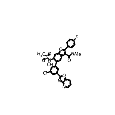 CNC(=O)c1c(-c2ccc(F)cc2)oc2cc(N(C)S(C)(=O)=O)c(-c3cc(Cl)cc(-c4nc5ncccc5o4)c3)cc12